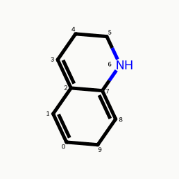 C1=CC2=CCCNC2=CC1